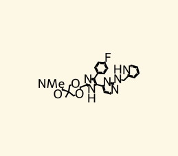 CNC(=O)C1(C)COC(c2nc(-c3ccc(F)cc3)c(-c3ccnc(NCc4ccccn4)n3)[nH]2)OC1